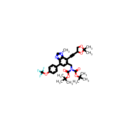 Cn1cnc2c(-c3ccc(OC(F)(F)F)cc3)cc(CN(C(=O)OC(C)(C)C)C(=O)OC(C)(C)C)c(C#CC3COC(C)(C)O3)c21